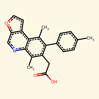 Cc1ccc(-c2c(CC(=O)O)c(C)c3ncc4occc4c3c2C)cc1